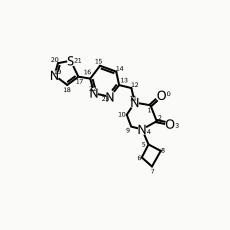 O=C1C(=O)N(C2CCC2)CCN1Cc1ccc(-c2cncs2)nn1